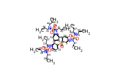 C=CCNP(=O)(Oc1ccc(P(=O)(c2ccc(OP(=O)(NCC=C)N(CC=C)CC=C)cc2)c2ccc(OP(=O)(NCC=C)N(CC=C)CC=C)cc2)cc1)N(CC=C)CC=C